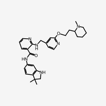 CN1CCCCC1CCOc1cc(CNc2ncccc2C(=O)Nc2ccc3c(c2)NCC3(C)C)ccn1